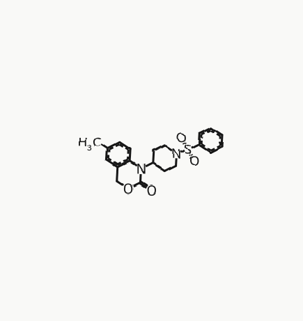 Cc1ccc2c(c1)COC(=O)N2C1CCN(S(=O)(=O)c2ccccc2)CC1